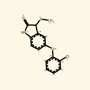 CSC1C(=O)Nc2ccc(Oc3ccccc3Cl)cc21